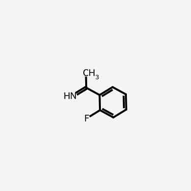 CC(=N)c1ccccc1F